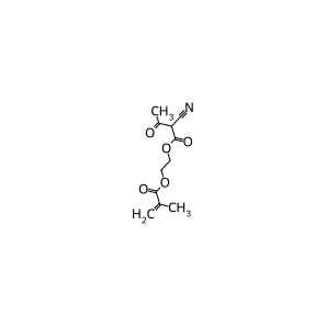 C=C(C)C(=O)OCCOC(=O)C(C#N)C(C)=O